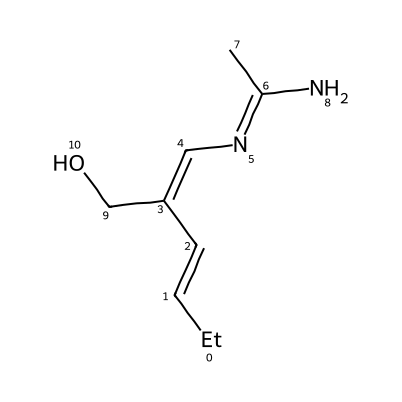 CC/C=C/C(=C\N=C(/C)N)CO